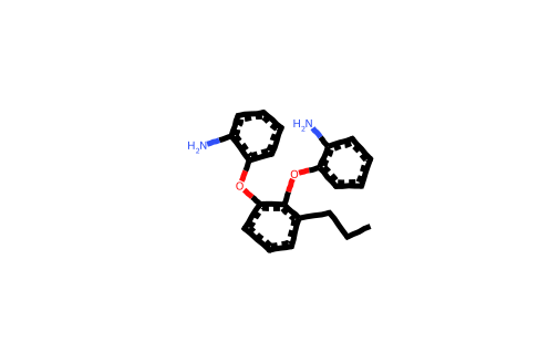 CCCc1cccc(Oc2ccccc2N)c1Oc1ccccc1N